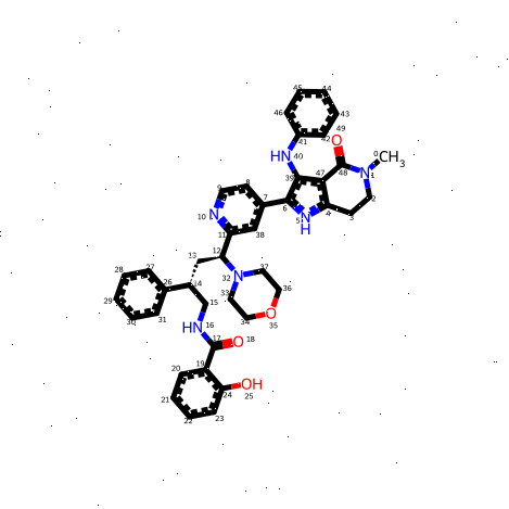 CN1CCc2[nH]c(-c3ccnc([C@H](C[C@H](CNC(=O)c4ccccc4O)c4ccccc4)N4CCOCC4)c3)c(Nc3ccccc3)c2C1=O